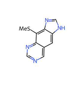 CSc1c2ncncc2cc2[nH]cnc12